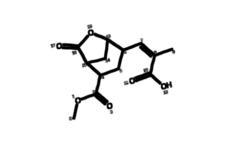 COC(=O)C1CC(C=C(C)C(=O)O)C2CC1C(=O)O2